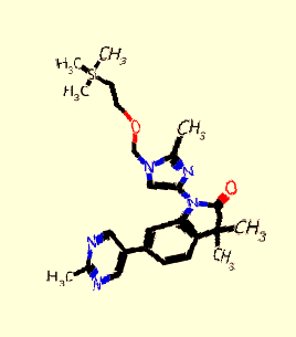 Cc1ncc(-c2ccc3c(c2)N(c2cn(COCC[Si](C)(C)C)c(C)n2)C(=O)C3(C)C)cn1